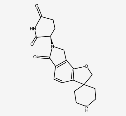 O=C1CC[C@@H](N2Cc3c(ccc4c3OCC43CCNCC3)C2=O)C(=O)N1